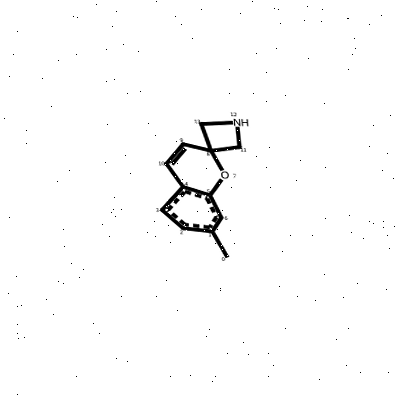 Cc1ccc2c(c1)OC1(C=C2)CNC1